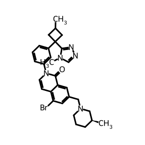 CC1CC(c2cccc(-n3ccc4c(Br)cc(CN5CCC[C@H](C)C5)cc4c3=O)c2)(c2nncn2C)C1